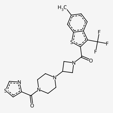 Cc1ccc2c(C(F)(F)F)c(C(=O)N3CC(N4CCN(C(=O)c5cscn5)CC4)C3)sc2c1